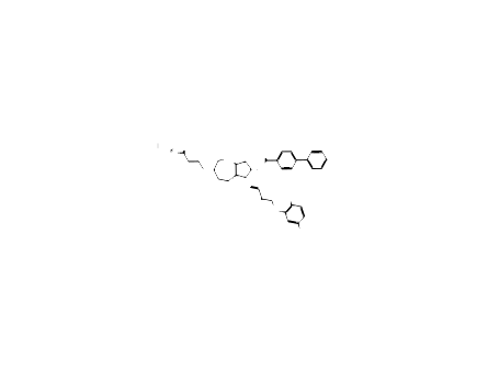 CC(C)OC(=O)CCC[C@H]1CC[C@@H]2[C@@H](/C=C/C(O)COc3cc(F)ccc3F)[C@H](OC(=O)c3ccc(-c4ccccc4)cc3)C[C@@H]2OC1